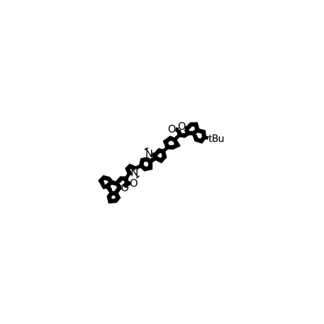 Cn1c(-c2ccc3c4ccc(-c5ccc(-c6cc7c(ccc8cc(C(C)(C)C)ccc87)oc6=O)cc5)cc4n(C)c3c2)ccc1-c1cc2c3ccccc3c3ccccc3c2oc1=O